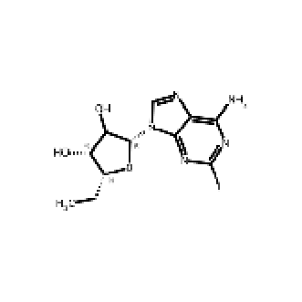 CC[C@H]1O[C@@H](n2cnc3c(N)nc(I)nc32)C(O)[C@H]1O